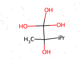 CC(C)C(C)(O)C(O)(O)O